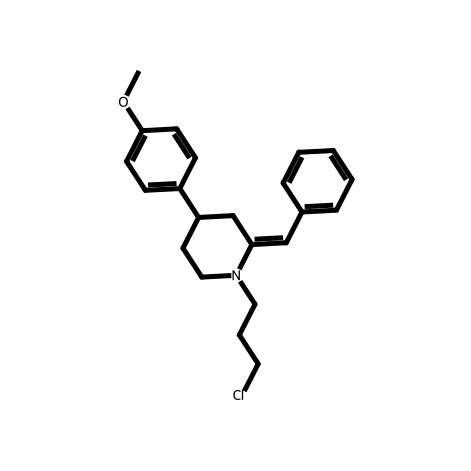 COc1ccc(C2CCN(CCCCl)C(=Cc3ccccc3)C2)cc1